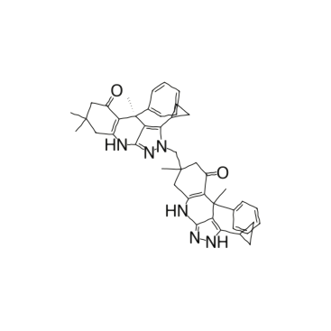 CC1(C)CC(=O)C2=C(C1)Nc1nn(CC3(C)CC(=O)C4=C(C3)Nc3n[nH]c(C5CC5)c3C4(C)c3ccccc3)c(C3CC3)c1[C@]2(C)c1ccccc1